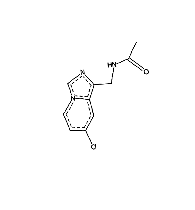 CC(=O)NCc1ncn2ccc(Cl)cc12